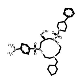 CN(C)c1ccc(S(=O)(=O)N2CCCN(CC3CCCCC3)CCCN(S(=O)(=O)N3CCC(c4ccccc4)CC3)CC(=NO)C2)cc1